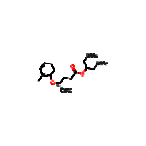 COCC(COC)OC(=O)CC[C@H](OC)OC1=C(C)C=CCC1